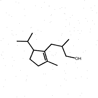 CC1=C(CC(C)CO)C(C(C)C)CC1